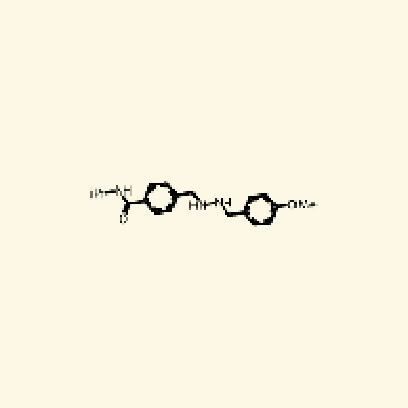 COc1ccc(CNNCc2ccc(C(=O)NC(C)C)cc2)cc1